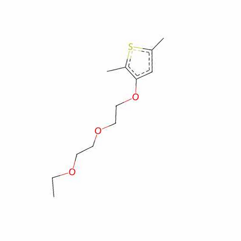 CCOCCOCCOc1cc(C)sc1C